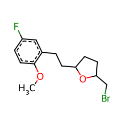 COc1ccc(F)cc1CCC1CCC(CBr)O1